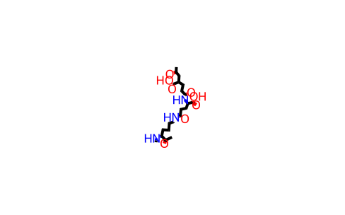 CNC(CCCCNC(=O)CCC(NC(=O)CCC(CC(C)=O)C(=O)O)C(=O)O)C(C)=O